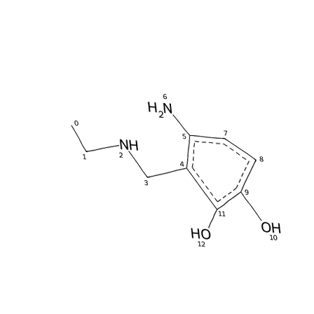 CCNCc1c(N)ccc(O)c1O